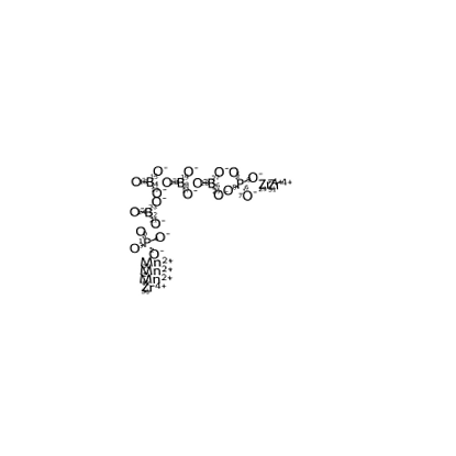 O=P([O-])([O-])[O-].O=P([O-])([O-])[O-].[Mn+2].[Mn+2].[Mn+2].[O-]B([O-])[O-].[O-]B([O-])[O-].[O-]B([O-])[O-].[O-]B([O-])[O-].[Zr+4].[Zr+4].[Zr+4]